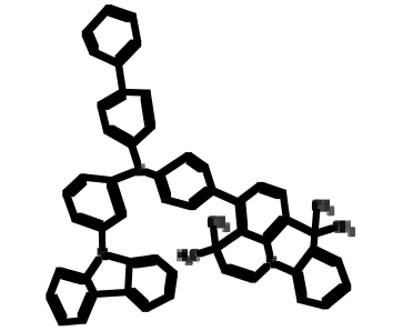 CC1(C)C=CN2c3ccccc3C(C)(C)c3ccc(-c4ccc(N(c5ccc(-c6ccccc6)cc5)c5cccc(-n6c7ccccc7c7ccccc76)c5)cc4)c1c32